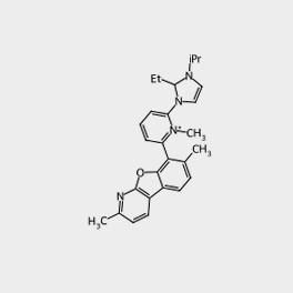 CCC1N(c2cccc(-c3c(C)ccc4c3oc3nc(C)ccc34)[n+]2C)C=CN1C(C)C